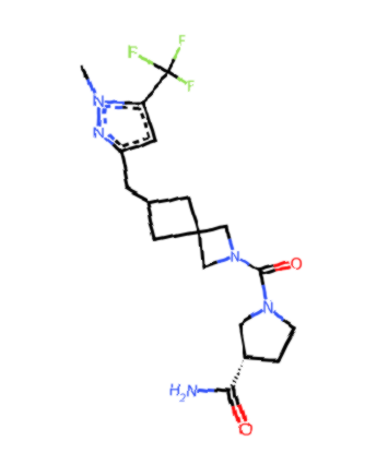 Cn1nc(CC2CC3(C2)CN(C(=O)N2CC[C@H](C(N)=O)C2)C3)cc1C(F)(F)F